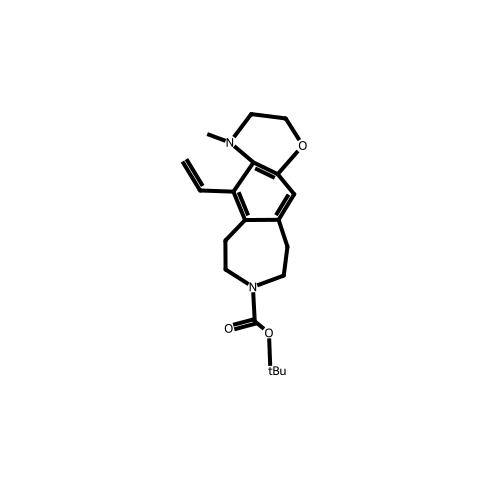 C=Cc1c2c(cc3c1N(C)CCO3)CCN(C(=O)OC(C)(C)C)CC2